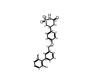 Cc1cccc(C)c1-c1cccc(COc2ccc(C3CC(=O)NS(=O)(=O)C3)cc2)c1